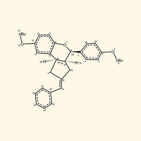 CCCCOc1ccc([C@@H]2Oc3ccc(OCCCC)cc3[C@@H]3CC(=Cc4ccccc4)C[C@@H]32)cc1